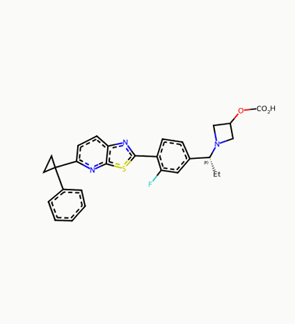 CC[C@H](c1ccc(-c2nc3ccc(C4(c5ccccc5)CC4)nc3s2)c(F)c1)N1CC(OC(=O)O)C1